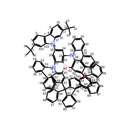 CC(C)(C)c1ccc2c3ccc(C(C)(C)C)cc3n(-c3cc4c5c(c3)N(c3ccccc3-c3ccccc3)c3cc6c(cc3B5c3cc5c(cc3N4c3ccccc3-c3ccccc3)-c3ccccc3C53c4ccccc4-c4ccccc43)C3(c4ccccc4-c4ccccc43)c3ccccc3-6)c2c1